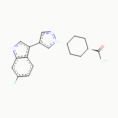 CNC(=O)[C@H]1CC[C@H](n2cc(-c3c[nH]c4cc(F)ccc34)cn2)CC1